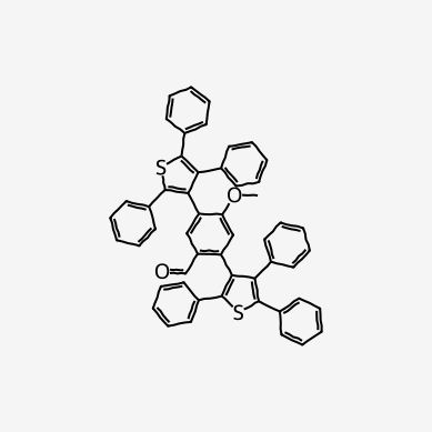 COc1cc(-c2c(-c3ccccc3)sc(-c3ccccc3)c2-c2ccccc2)c(C=O)cc1-c1c(-c2ccccc2)sc(-c2ccccc2)c1-c1ccccc1